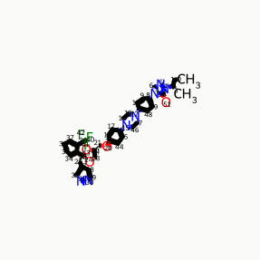 CCC(C)n1ncn(-c2ccc(N3CCN(c4ccc(OC[C@@H]5CO[C@@](Cc6ccnnc6)(c6ccccc6C(F)(F)F)O5)cc4)CC3)cc2)c1=O